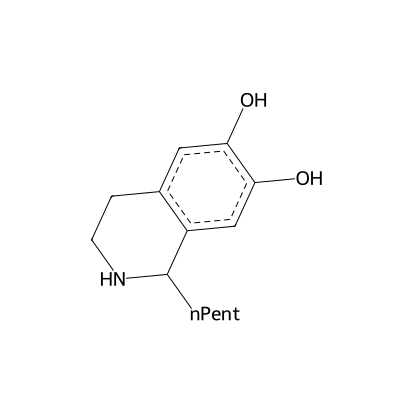 CCCCCC1NCCc2cc(O)c(O)cc21